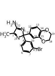 CC1=NC(c2cccc(Br)c2)(c2ccc3c(c2)OCCO3)N=C1N